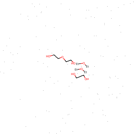 CCOCC.CCOCC.OCCO.OCCOCCO